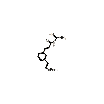 CCCCC/C=C/c1cccc(C=CC(=O)NC(=N)N)c1